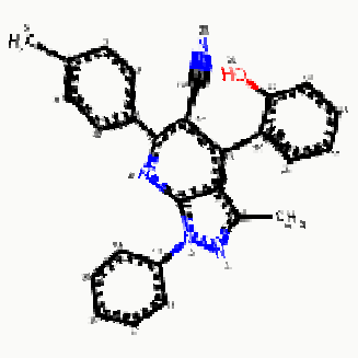 Cc1ccc(-c2nc3c(c(C)nn3-c3ccccc3)c(-c3ccccc3O)c2C#N)cc1